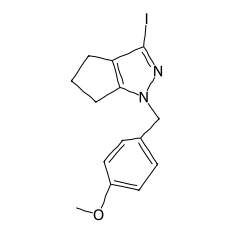 COc1ccc(Cn2nc(I)c3c2CCC3)cc1